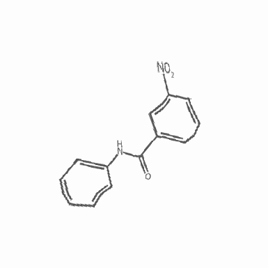 O=C(Nc1ccccc1)c1cc[c]c([N+](=O)[O-])c1